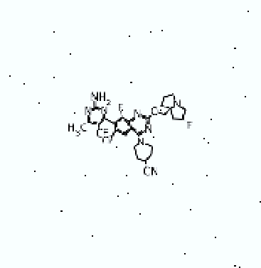 Cc1nc(N)nc(-c2c(Cl)cc3c(N4CCC(C#N)CC4)nc(OC[C@@]45CCCN4C[C@H](F)C5)nc3c2F)c1C(F)(F)F